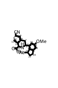 COc1cc2c(c(C3Cc4cc(C#N)ccc4C(C(=O)C(C)(C)C)N3)c1)C(C(C)=O)CC2